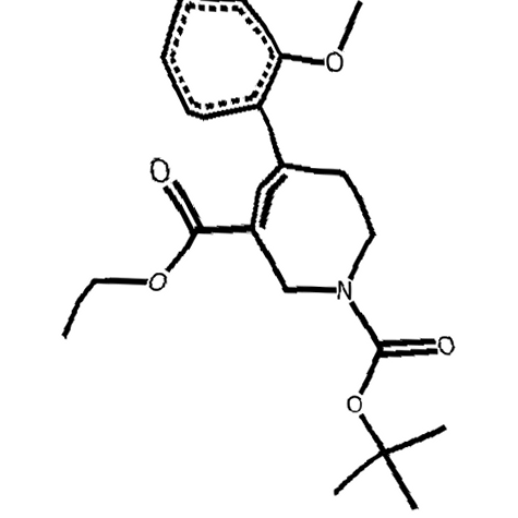 CCOC(=O)C1=C(c2ccccc2OC)CCN(C(=O)OC(C)(C)C)C1